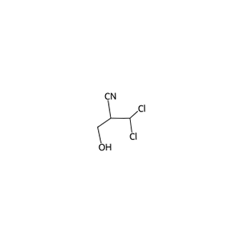 N#CC(CO)C(Cl)Cl